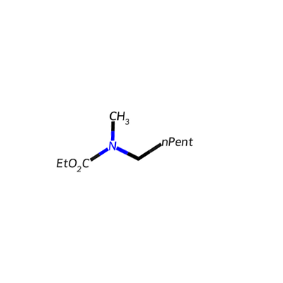 CCCCCCN(C)C(=O)OCC